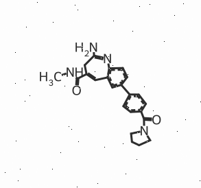 CNC(=O)C1=Cc2cc(-c3ccc(C(=O)N4CCCC4)cc3)ccc2N=C(N)C1